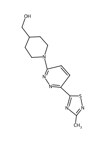 Cc1nsc(-c2ccc(N3CCC(CO)CC3)nn2)n1